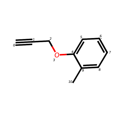 C#CCOc1c[c]ccc1C